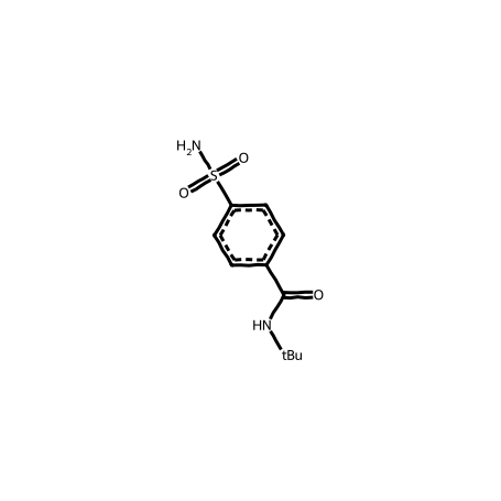 CC(C)(C)NC(=O)c1ccc(S(N)(=O)=O)cc1